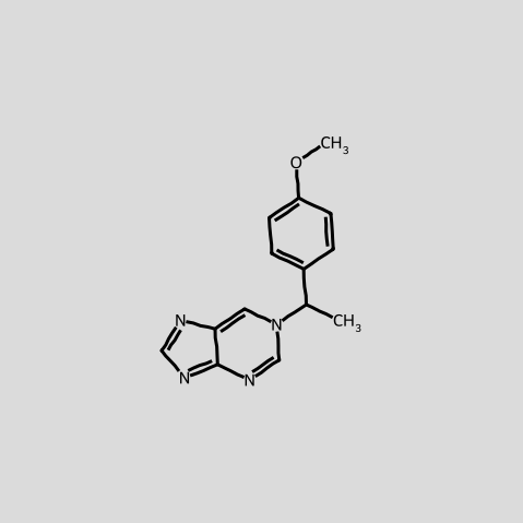 COc1ccc(C(C)n2cnc3ncnc-3c2)cc1